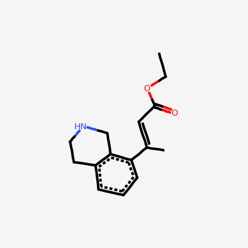 CCOC(=O)C=C(C)c1cccc2c1CNCC2